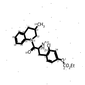 CCOC(=O)Oc1ccc(CC(N)C(=O)N2CC(C)Cc3ccccc32)c(Cl)c1